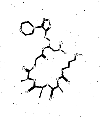 CCCCCCCCCCCCCCC(=O)O[C@@H](C)C(=O)O[C@@H](C)C(=O)O[C@@H](C)C(=O)OCC(=O)O[C@H](COc1nsnc1N1CCOCC1)CN(C(C)=O)C(C)(C)C